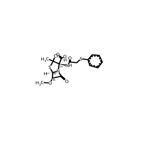 CO[C@@H]1C(=O)N2[C@@H]1SC(C)(C)[C@]2(NC(=O)CSc1ccccc1)C(=O)O